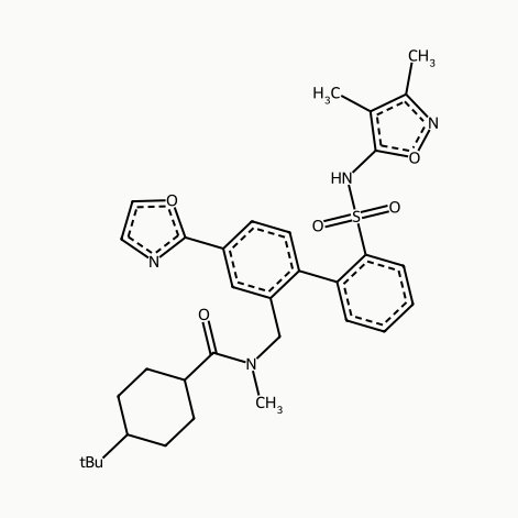 Cc1noc(NS(=O)(=O)c2ccccc2-c2ccc(-c3ncco3)cc2CN(C)C(=O)C2CCC(C(C)(C)C)CC2)c1C